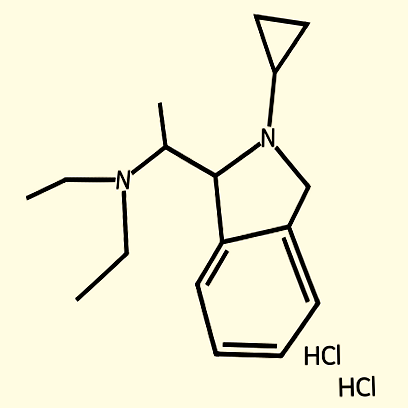 CCN(CC)C(C)C1c2ccccc2CN1C1CC1.Cl.Cl